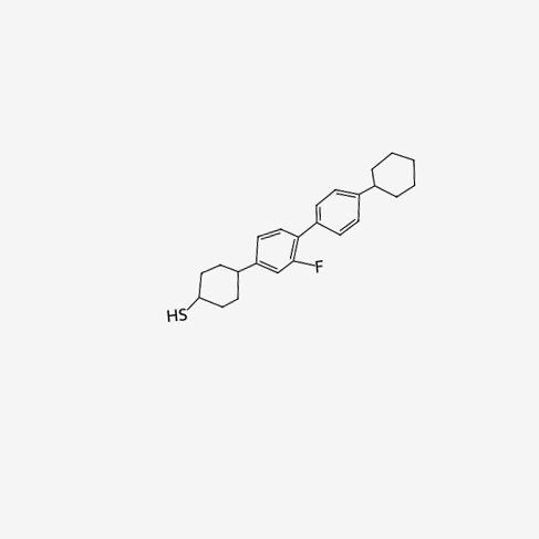 Fc1cc(C2CCC(S)CC2)ccc1-c1ccc(C2CCCCC2)cc1